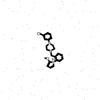 COC1=CC=C[SH]1c1ccccc1CN1CCN(c2cccc(Cl)c2)CC1